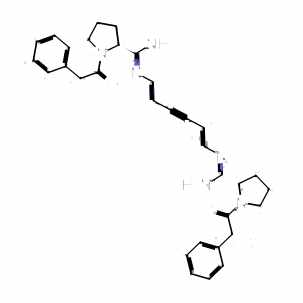 C[C@@H](C(=O)N1CCC[C@H]1/C(N)=N/C=C/C#C/C=C/N=C(\N)[C@@H]1CCCN1C(=O)[C@H](C)c1ccccc1)c1ccccc1